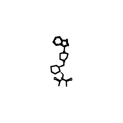 CC(=O)N(C[C@@H]1CCCC[C@H]1CN1CCN(c2nsc3ccccc23)CC1)C(C)=O